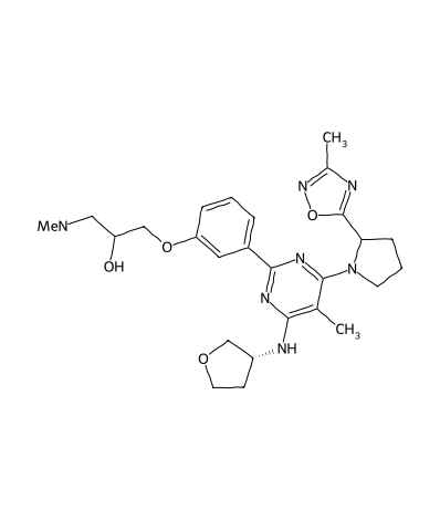 CNCC(O)COc1cccc(-c2nc(N[C@@H]3CCOC3)c(C)c(N3CCCC3c3nc(C)no3)n2)c1